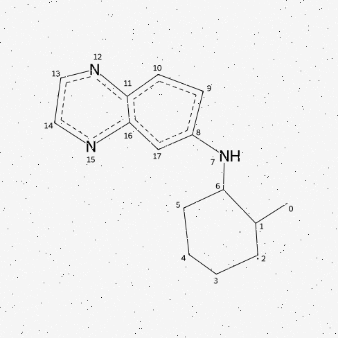 CC1[CH]CCCC1Nc1ccc2nccnc2c1